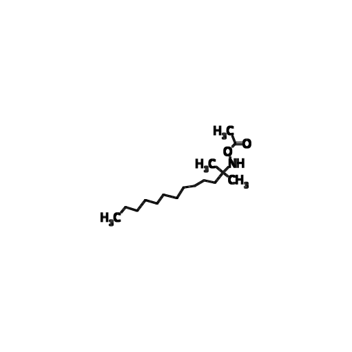 CCCCCCCCCCCC(C)(C)NOC(C)=O